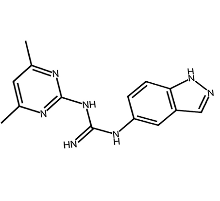 Cc1cc(C)nc(NC(=N)Nc2ccc3[nH]ncc3c2)n1